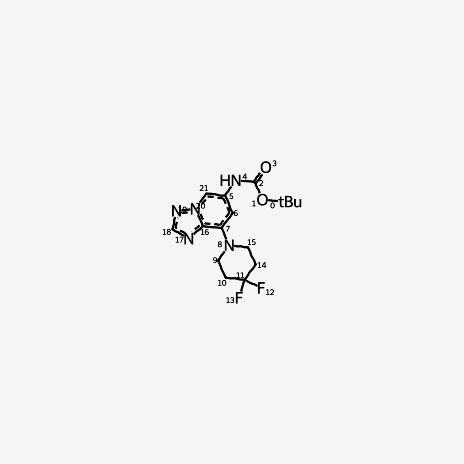 CC(C)(C)OC(=O)Nc1cc(N2CCC(F)(F)CC2)c2ncnn2c1